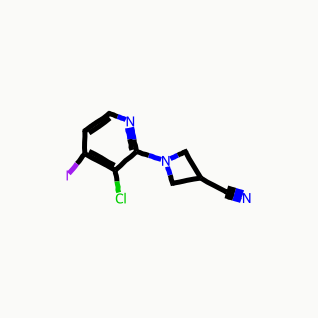 N#CC1CN(c2nccc(I)c2Cl)C1